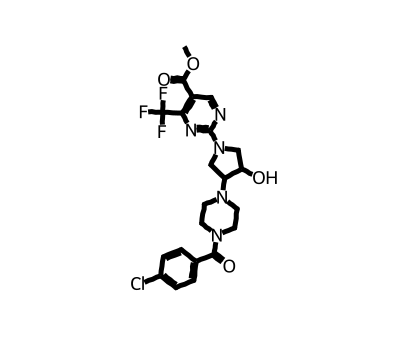 COC(=O)c1cnc(N2CC(O)C(N3CCN(C(=O)c4ccc(Cl)cc4)CC3)C2)nc1C(F)(F)F